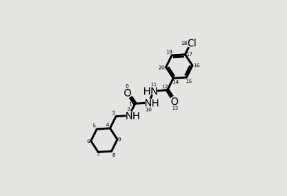 O=C(NCC1CCCCC1)NNC(=O)c1ccc(Cl)cc1